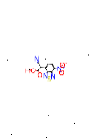 N#CC(C(=O)O)c1ccc([N+](=O)[O-])c2nsnc12